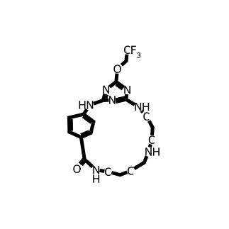 O=C1NCCCCNCCCNc2nc(nc(OCC(F)(F)F)n2)Nc2ccc1cc2